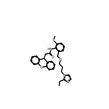 CCc1nccn1CCCOCc1cccc(SC)c1NC(=O)CC1c2ccccc2Oc2ccccc21